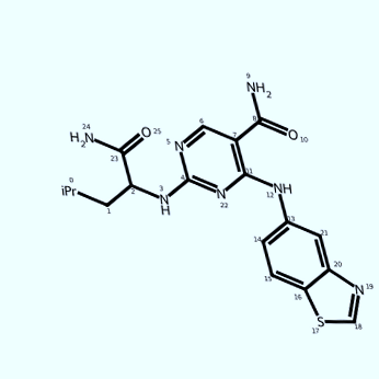 CC(C)CC(Nc1ncc(C(N)=O)c(Nc2ccc3scnc3c2)n1)C(N)=O